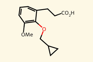 COc1cccc(CCC(=O)O)c1OCC1CC1